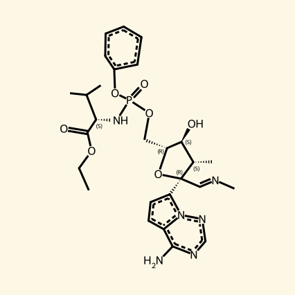 CCOC(=O)[C@@H](NP(=O)(OC[C@H]1O[C@@](C=NC)(c2ccc3c(N)ncnn23)[C@@H](C)[C@@H]1O)Oc1ccccc1)C(C)C